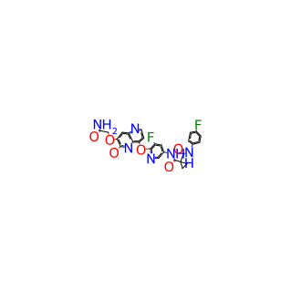 COc1nc2c(Oc3ncc(NC(=O)C4(C(=O)Nc5ccc(F)cc5)CC4)cc3F)ccnc2cc1OCC(N)=O